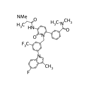 CN[C@@H](C)C(=O)Nc1ccc(-c2cccc(C(=O)N(C)C)c2)n(Cc2cc(-n3cc(C)c4cc(F)ccc43)cc(C(F)(F)F)c2)c1=O